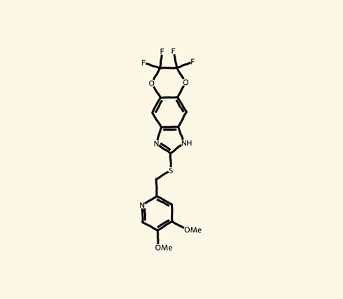 COc1cnc(CSc2nc3cc4c(cc3[nH]2)OC(F)(F)C(F)(F)O4)cc1OC